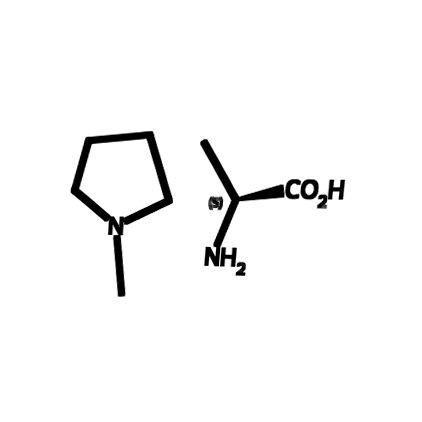 CN1CCCC1.C[C@H](N)C(=O)O